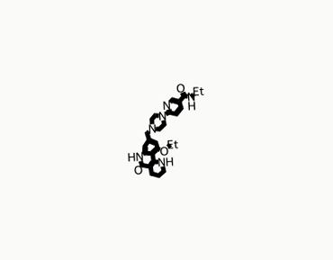 CCNC(=O)c1ccc(N2CCN(Cc3cc(OCC)c4c5c(c(=O)[nH]c4c3)CCCN5)CC2)nc1